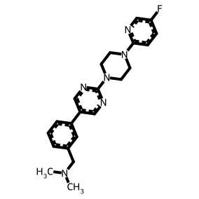 CN(C)Cc1cccc(-c2cnc(N3CCN(c4ccc(F)cn4)CC3)nc2)c1